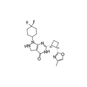 Cc1coc([C@H]2CC[C@H]2c2nc3c(c(=O)[nH]2)CNN3C2CCC(F)(F)CC2)n1